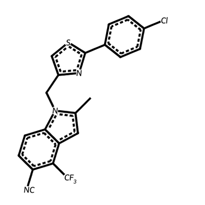 [C-]#[N+]c1ccc2c(cc(C)n2Cc2csc(-c3ccc(Cl)cc3)n2)c1C(F)(F)F